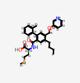 CCCCc1cc(C(=O)N[C@@H](CCSC)C(=O)O)c(-c2ccccc2C)cc1COc1cccnc1